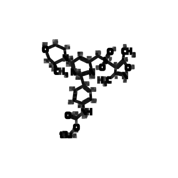 Cc1noc(C)c1S(=O)(=O)Cc1cc(N2CCOC[C@@H]2C)nc(-c2ccc(NC(=O)OC(C)(C)C)cc2)n1